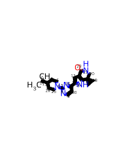 CC(C)C1CCN(c2nccc(-c3cc4c([nH]3)C3(CC3)CNC4=O)n2)CC1